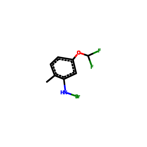 Cc1ccc(OC(F)F)cc1NBr